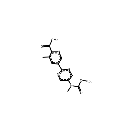 COC(=O)c1ncc(-c2ncc(N(C)C(=O)OC(C)(C)C)cn2)cc1C